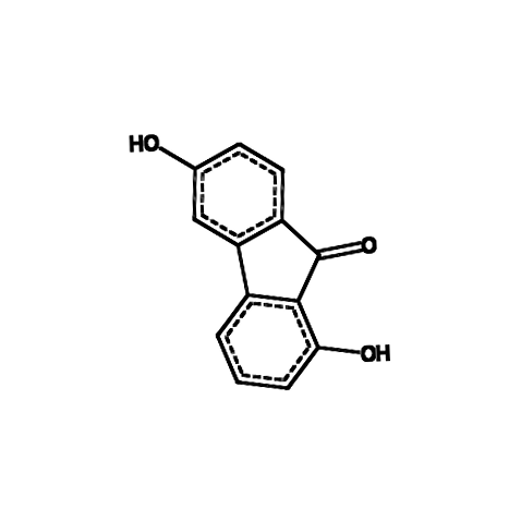 O=C1c2ccc(O)cc2-c2cccc(O)c21